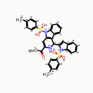 COC(=O)C1=Cc2c(c3ccccc3n2S(=O)(=O)c2ccc(C)cc2)C(c2cc3ccccc3n2S(=O)(=O)c2ccc(C)cc2)N1